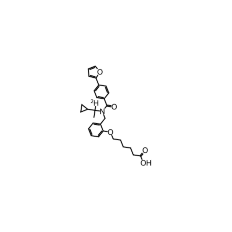 [2H]C(C)(C1CC1)N(Cc1ccccc1OCCCCCC(=O)O)C(=O)c1ccc(-c2ccco2)cc1